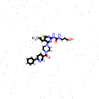 Cc1cc2c(N3CCN(C(=O)c4ccc(-c5ccccc5)nc4)CC3)nc(NC(=O)NCCCO)nc2s1